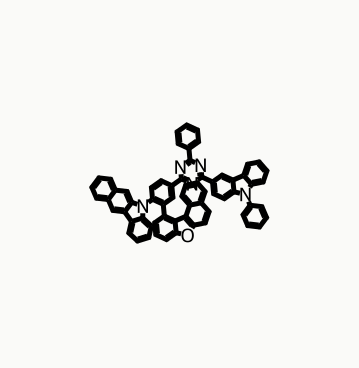 c1ccc(-c2nc(-c3ccc(-n4c5ccccc5c5cc6ccccc6cc54)c(-c4cccc5oc6ccc7ccccc7c6c45)c3)nc(-c3ccc4c(c3)c3ccccc3n4-c3ccccc3)n2)cc1